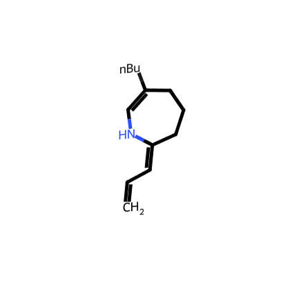 C=C/C=C1/CCCC(CCCC)=CN1